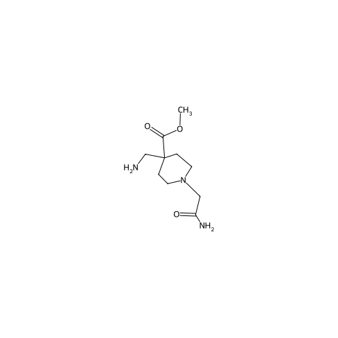 COC(=O)C1(CN)CCN(CC(N)=O)CC1